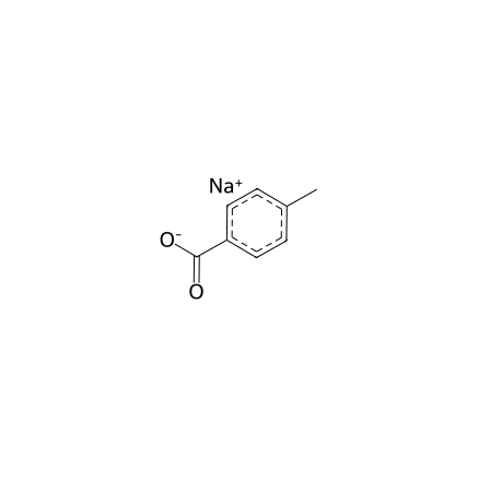 Cc1ccc(C(=O)[O-])cc1.[Na+]